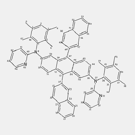 Cc1cc(C)c(C)c(N(c2ccc3c(-c4ccc5ccccc5c4)c4cc(N(c5ccccn5)c5c(C)c(C)cc(C)c5C)ccc4c(-c4ccc5ccccc5c4)c3c2)c2ccccn2)c1C